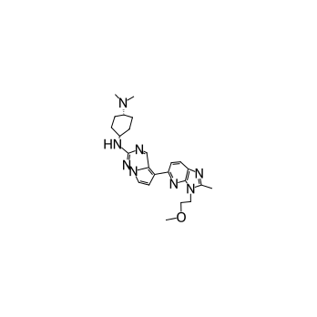 COCCn1c(C)nc2ccc(-c3ccn4nc(N[C@H]5CC[C@@H](N(C)C)CC5)ncc34)nc21